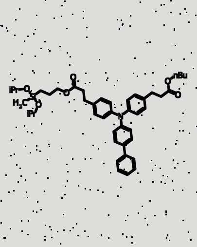 CCCCOC(=O)CCc1ccc(N(c2ccc(CCC(=O)OCCC[Si](C)(OC(C)C)OC(C)C)cc2)c2ccc(-c3ccccc3)cc2)cc1